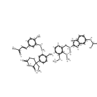 CCC1(c2ccc(N)cc2)CCC(=O)NC1=O.COc1cc(/C=C/C(=O)O)ccc1O.COc1ccnc(C[S+]([O-])c2nc3cc(OC(F)F)ccc3[nH]2)c1OC